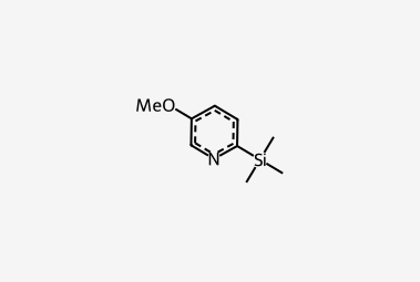 COc1ccc([Si](C)(C)C)nc1